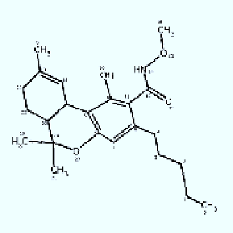 CCCCCc1cc2c(c(O)c1C(=O)NOC)C1C=C(C)CCC1C(C)(C)O2